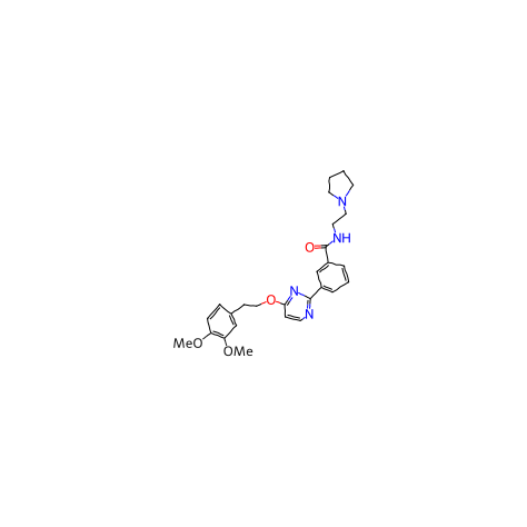 COc1ccc(CCOc2ccnc(-c3cccc(C(=O)NCCN4CCCC4)c3)n2)cc1OC